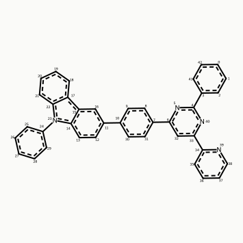 c1ccc(-c2nc(-c3ccc(-c4ccc5c(c4)c4ccccc4n5-c4ccccc4)cc3)cc(-c3ccccn3)n2)cc1